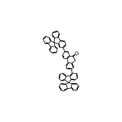 O=C1Cc2cc(-c3cccc4c3-c3ccccc3C43c4ccccc4-c4ccccc43)ccc2-c2ccc(-c3ccc4c(c3)C3(c5ccccc5-c5ccccc53)c3ccccc3-4)cc21